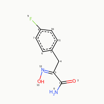 NC(=O)C(Cc1ccc(F)cc1)=NO